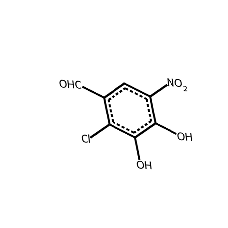 O=Cc1cc([N+](=O)[O-])c(O)c(O)c1Cl